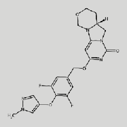 Cn1cc(Oc2c(F)cc(COc3cc4n(c(=O)n3)C[C@H]3CCOCN43)cc2F)cn1